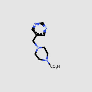 O=C(O)N1CCN(Cc2cncnc2)CC1